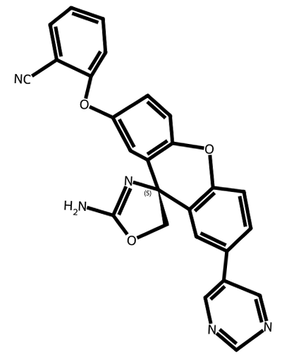 N#Cc1ccccc1Oc1ccc2c(c1)[C@]1(COC(N)=N1)c1cc(-c3cncnc3)ccc1O2